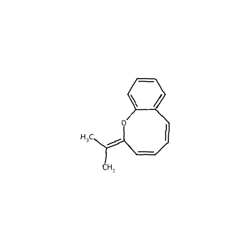 CC(C)=C1C=CC=Cc2ccccc2O1